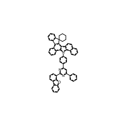 c1ccc(-c2cc(-c3ccc(-n4c5c6ccccc6ccc5c5c6c(c7ccccc7c54)-c4ccccc4C64CCCCC4)cc3)nc(-c3cccc4c3oc3ccccc34)n2)cc1